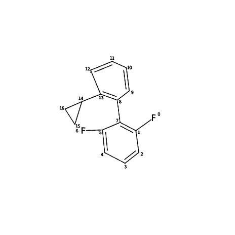 Fc1cccc(F)c1-c1ccc[c]c1C1CC1